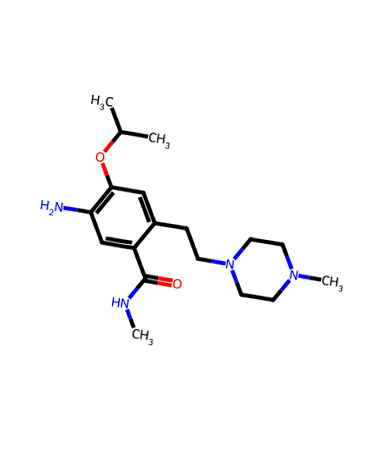 CNC(=O)c1cc(N)c(OC(C)C)cc1CCN1CCN(C)CC1